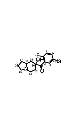 O=C(c1cc(Br)ccc1F)C1(O)CCN2CCCC2C1